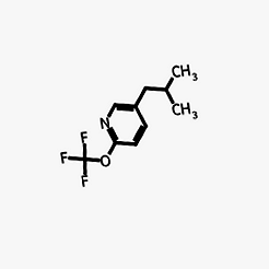 CC(C)Cc1ccc(OC(F)(F)F)nc1